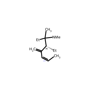 C=C(/C=C\C)[C@@H](CC)C(C)(CC)NC